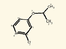 CC(C)Oc1[c]c(Cl)ncc1